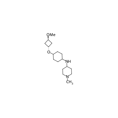 CO[C@H]1C[C@H](OC2CCC(NC3CCN(C)CC3)CC2)C1